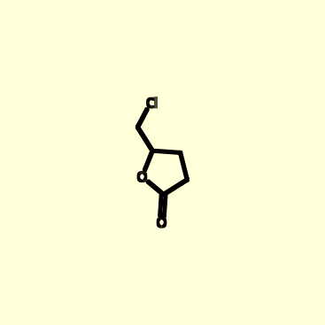 O=C1CCC(CCl)O1